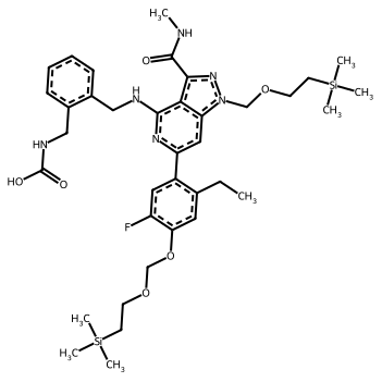 CCc1cc(OCOCC[Si](C)(C)C)c(F)cc1-c1cc2c(c(NCc3ccccc3CNC(=O)O)n1)c(C(=O)NC)nn2COCC[Si](C)(C)C